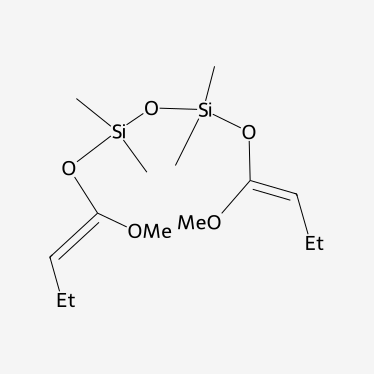 CC/C=C(\OC)O[Si](C)(C)O[Si](C)(C)O/C(=C/CC)OC